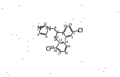 Clc1ccc(C(Cn2ccnc2)Sc2ccccc2Cl)cc1